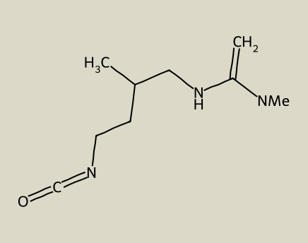 C=C(NC)NCC(C)CCN=C=O